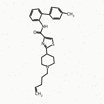 C=CCCCN1CCC(c2nc(C(=O)Nc3ccccc3-c3ccc(C)cc3)cs2)CC1